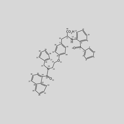 O=C(c1ccccc1)c1ccccc1NC(Cc1ccc(OCCN(Cc2ccccc2)C(=O)c2cccc3ccccc23)cc1)C(=O)O